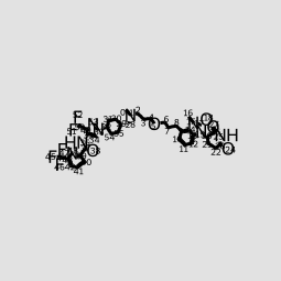 CN(CCCOCCCc1cccc2c1n(C)c(=O)n2C1CCC(=O)NC1=O)C[C@H]1CC[C@H](n2cc(NC(=O)c3cccc(C(F)(F)F)n3)c(C(F)F)n2)CC1